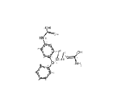 CCC.CCC.NC(O)=S.OC(=S)Nc1ccc(Oc2ccccc2)cc1